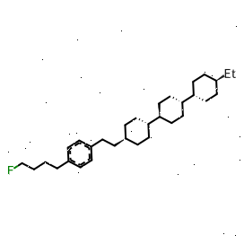 CC[C@H]1CC[C@H]([C@H]2CC[C@H]([C@H]3CC[C@H](CCc4ccc(CCCCF)cc4)CC3)CC2)CC1